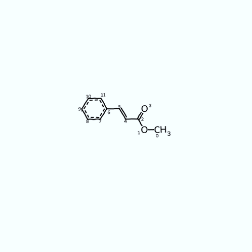 COC(=O)C=Cc1cc[c]cc1